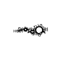 CO[C@@]1(C)C[C@@H](C)C(=O)[C@H](C)[C@@H](O)[C@@]2(O)C(C)C2OC(=O)[C@H](C)[C@H](O)[C@H](C)[C@H]1OC1O[C@H](C)C[C@H](N(C)Cc2ccc(OCC(=O)NO)cc2)[C@H]1O